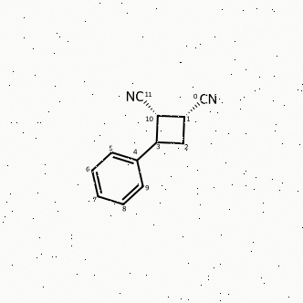 N#C[C@@H]1CC(c2ccccc2)[C@@H]1C#N